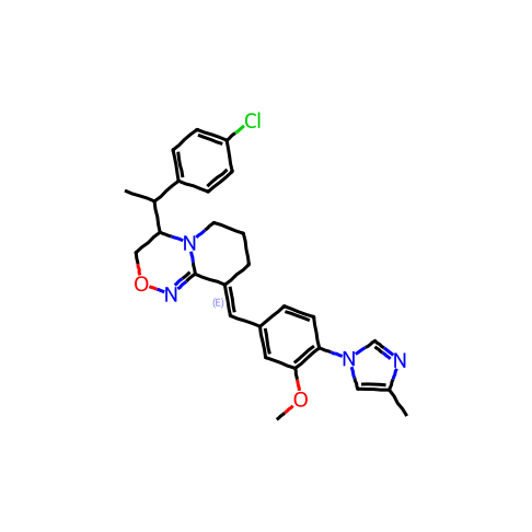 COc1cc(/C=C2\CCCN3C2=NOCC3C(C)c2ccc(Cl)cc2)ccc1-n1cnc(C)c1